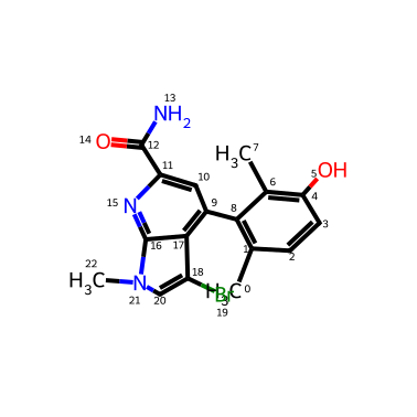 Cc1ccc(O)c(C)c1-c1cc(C(N)=O)nc2c1c(Br)cn2C